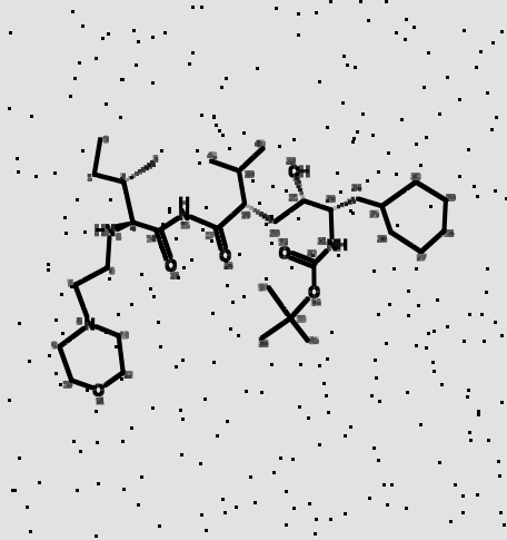 CC[C@H](C)[C@H](NCCN1CCOCC1)C(=O)NC(=O)[C@@H](C[C@H](O)[C@H](CC1CCCCC1)NC(=O)OC(C)(C)C)C(C)C